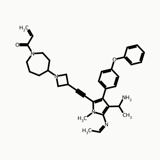 C=CC(=O)N1CCCC(N2CC(C#Cc3c(-c4ccc(Oc5ccccc5)cc4)c(C(C)N)c(/N=C\C)n3C)C2)CC1